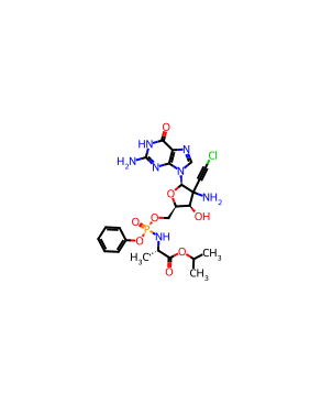 CC(C)OC(=O)[C@H](C)NP(=O)(OC[C@H]1O[C@@H](n2cnc3c(=O)[nH]c(N)nc32)C(N)(C#CCl)[C@H]1O)Oc1ccccc1